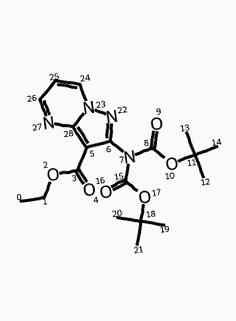 CCOC(=O)c1c(N(C(=O)OC(C)(C)C)C(=O)OC(C)(C)C)nn2cccnc12